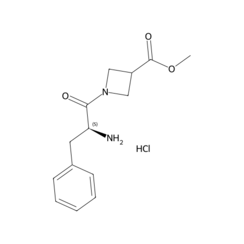 COC(=O)C1CN(C(=O)[C@@H](N)Cc2ccccc2)C1.Cl